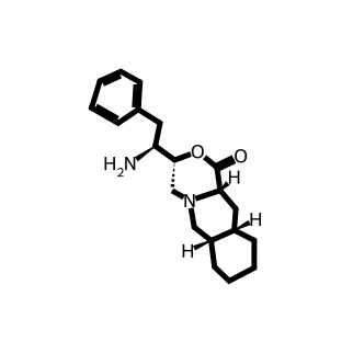 N[C@@H](Cc1ccccc1)[C@H]1CN2C[C@H]3CCCC[C@H]3C[C@H]2C(=O)O1